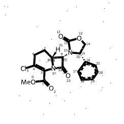 COC(=O)C1=C(Cl)CC[C@@H]2[C@H](N3C(=O)OC[C@@H]3c3ccccc3)C(=O)N12